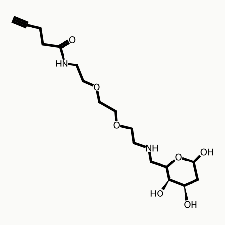 C#CCCC(=O)NCCOCCOCCNCC1OC(O)C[C@@H](O)[C@H]1O